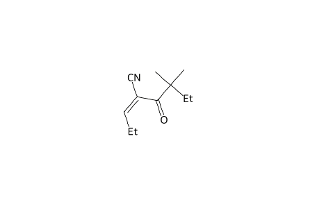 CC/C=C(/C#N)C(=O)C(C)(C)CC